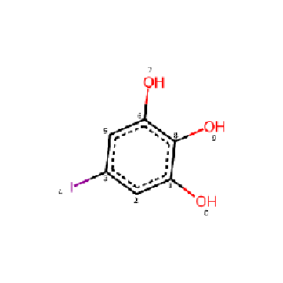 Oc1cc(I)cc(O)c1O